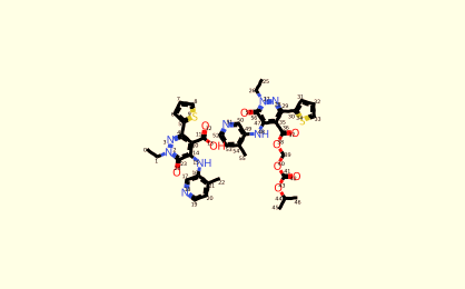 CCn1nc(-c2cccs2)c(C(=O)O)c(Nc2cnccc2C)c1=O.CCn1nc(-c2cccs2)c(C(=O)OCOC(=O)OC(C)C)c(Nc2cnccc2C)c1=O